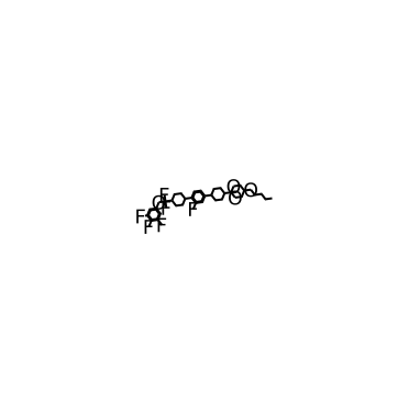 CCCCOC1COC(C2CCC(c3ccc(C4CCC(C(F)(F)Oc5cc(F)c(F)c(F)c5)CC4)c(F)c3)CC2)OC1